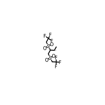 C[CH]C(CS(=O)(=O)CC(F)(F)F)S(=O)(=O)CC(F)(F)F